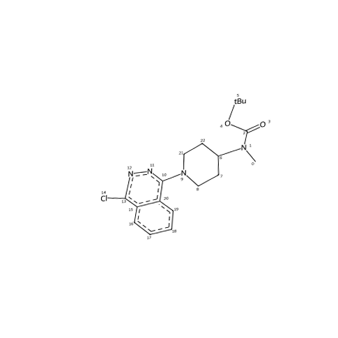 CN(C(=O)OC(C)(C)C)C1CCN(c2nnc(Cl)c3ccccc23)CC1